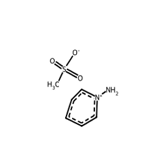 CS(=O)(=O)[O-].N[n+]1ccccc1